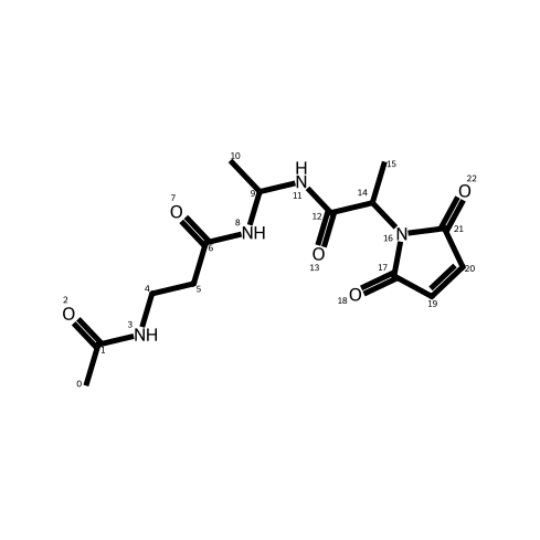 CC(=O)NCCC(=O)NC(C)NC(=O)C(C)N1C(=O)C=CC1=O